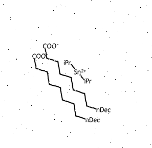 CCCCCCCCCCCCCCCCCC(=O)[O-].CCCCCCCCCCCCCCCCCC(=O)[O-].C[CH](C)[Sn+2][CH](C)C